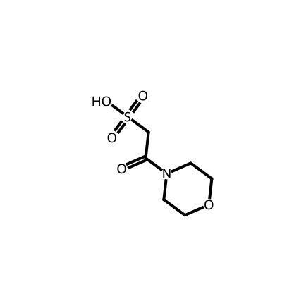 O=C(CS(=O)(=O)O)N1CCOCC1